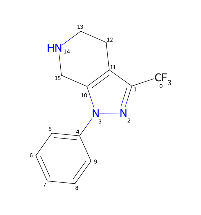 FC(F)(F)c1nn(-c2ccccc2)c2c1CCNC2